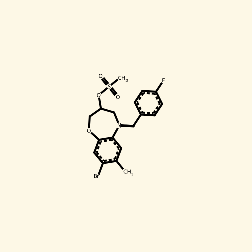 Cc1cc2c(cc1Br)OCC(OS(C)(=O)=O)CN2Cc1ccc(F)cc1